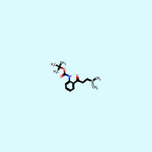 C[SiH](C)CCC(=O)c1ccccc1NC(=O)OC(C)(C)C